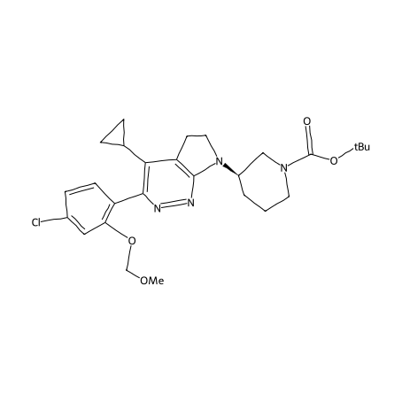 COCOc1cc(Cl)ccc1-c1nnc2c(c1C1CC1)CCN2[C@@H]1CCCN(C(=O)OC(C)(C)C)C1